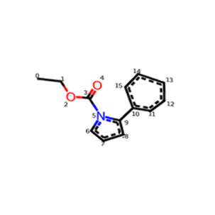 CCOC(=O)n1cc[c]c1-c1ccccc1